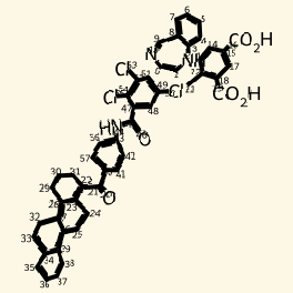 C1=CNc2ccccc2C=N1.Cc1ccc(C(=O)O)cc1C(=O)O.O=C(C1=c2ccc3c(c2CCC1)CC=c1ccccc1=3)c1ccc(NC(=O)c2cc(Cl)cc(Cl)c2Cl)cc1